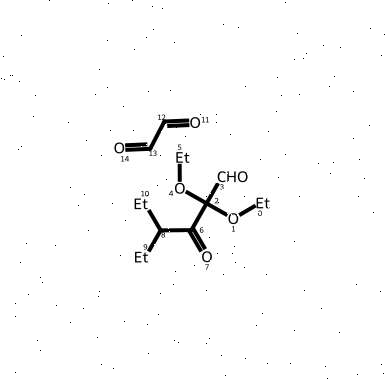 CCOC(C=O)(OCC)C(=O)C(CC)CC.O=CC=O